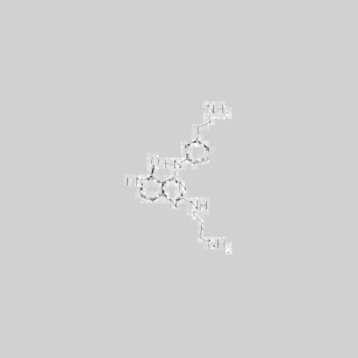 NCCCNc1nc(Nc2cccc(CCN)c2)c2c(=O)[nH]ccc2n1